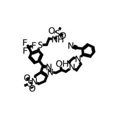 CS(=O)(=O)NCCSc1cc(-c2nn(CC(O)CN3CCN(c4ccccc4C#N)CC3)c3c2CN(S(C)(=O)=O)CC3)ccc1C(F)(F)F